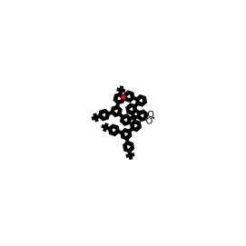 CC(C)(C)c1ccc(-c2cc(-c3ccc(C(C)(C)C)cc3)cc(-c3cccc(C4(c5cccc(-c6cc(-c7ccc(C(C)(C)C)cc7)cc(-c7ccc(C(C)(C)C)cc7)c6)c5)c5cc6c(cc5-c5c(-c7ccccc7-c7ccccc7)cccc54)OCO6)c3)c2)cc1